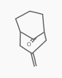 C=C1CC2CCCC(C1)C2=O